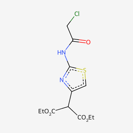 CCOC(=O)C(C(=O)OCC)c1csc(NC(=O)CCl)n1